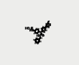 Cn1cc(-c2ccc(N(C(=O)NCc3ccccc3)[C@H]3CC[C@H](NC(=O)O)CC3)nc2)cn1